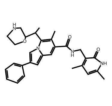 Cc1cc(C)c(CNC(=O)c2cc3cc(-c4ccccc4)cn3c(C(C)C3CNCCO3)c2C)c(=O)[nH]1